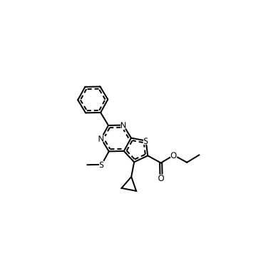 CCOC(=O)c1sc2nc(-c3ccccc3)nc(SC)c2c1C1CC1